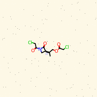 C/C(COC(=O)CCl)=C1\CN(C(=O)CCl)C1=O